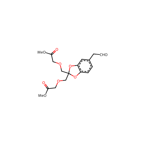 COC(=O)COCC1(COCC(=O)OC)Oc2ccc(CC=O)cc2O1